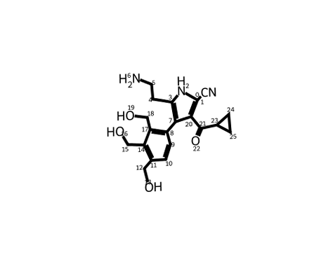 N#Cc1[nH]c(CCN)c(-c2ccc(CO)c(CO)c2CO)c1C(=O)C1CC1